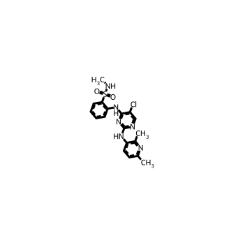 CNS(=O)(=O)c1ccccc1Nc1nc(Nc2ccc(C)nc2C)ncc1Cl